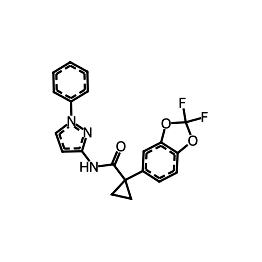 O=C(Nc1ccn(-c2ccccc2)n1)C1(c2ccc3c(c2)OC(F)(F)O3)CC1